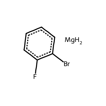 Fc1ccccc1Br.[MgH2]